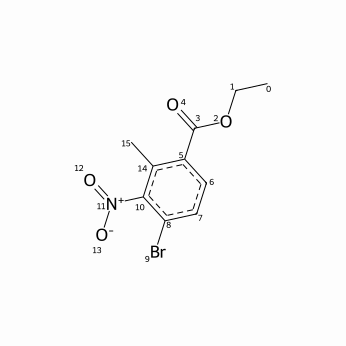 CCOC(=O)c1ccc(Br)c([N+](=O)[O-])c1C